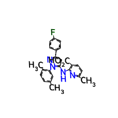 Cc1ccc(C)c(-n2nc(-c3ccc(F)cc3)cc2Nc2nc(C)ccc2C(=O)O)c1